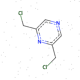 ClCc1cncc(CCl)n1